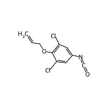 C=CCOc1c(Cl)cc(N=C=O)cc1Cl